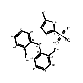 Cc1ccc(S(=O)(=O)[O-])o1.Fc1ccccc1[I+]c1ccccc1F